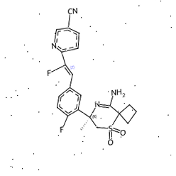 C[C@@]1(c2cc(/C=C(\F)c3ccc(C#N)cn3)ccc2F)CS(=O)(=O)C2(CCC2)C(N)=N1